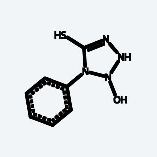 ON1NN=C(S)N1c1ccccc1